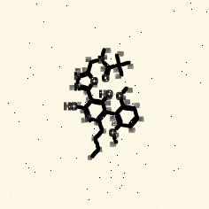 CCCCc1nc(O)c(-c2nnc(CN(C)C(=O)C(C)(C)C)o2)c(O)c1-c1c(OC)cccc1OC